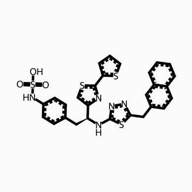 O=S(=O)(O)Nc1ccc(C[C@H](Nc2nnc(Cc3ccc4ccccc4c3)s2)c2csc(-c3cccs3)n2)cc1